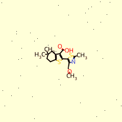 COCc1nc(C)sc1-c1sc2c(c1C(=O)O)CC(C)(C)CC2